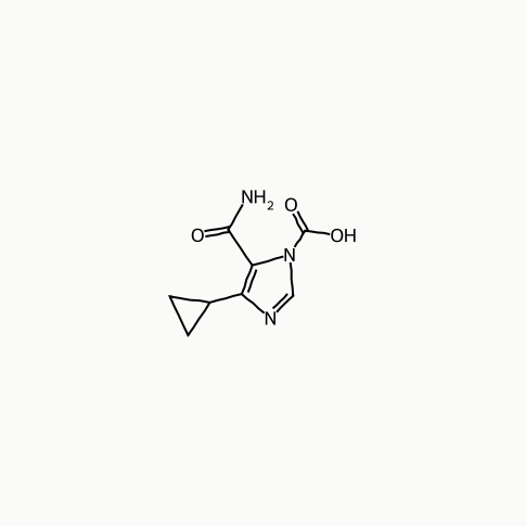 NC(=O)c1c(C2CC2)ncn1C(=O)O